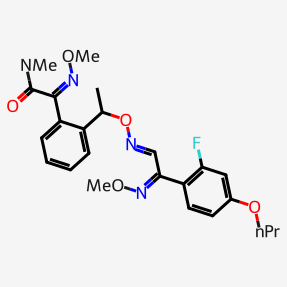 CCCOc1ccc(C(C=NOC(C)c2ccccc2C(=NOC)C(=O)NC)=NOC)c(F)c1